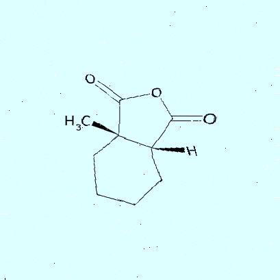 C[C@]12CCCC[C@H]1C(=O)OC2=O